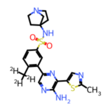 [2H]C([2H])([2H])c1ccc(S(=O)(=O)NC23CCN(CC2)C3)cc1-c1cnc(N)c(-c2cnc(C)s2)n1